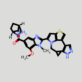 COc1cc(C(=O)N2C[C@H]3CC[C@@H]2[C@@H]3N)cc2nc(-c3cc4scc(-c5cn[nH]c5)c4n3CC3CC3)n(C)c12